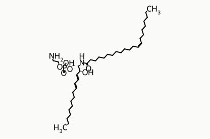 CCCCCCCC/C=C\CCCCCCCCCCCC(=O)N[C@@H](COP(=O)(O)OCCN)[C@H](O)/C=C/C=C/CCCCCCCCC